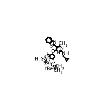 Cc1nc(NCC2CC2)nc(O[C@@H]2C[C@H](CO[Si](C)(C)C(C)(C)C)[C@@H](O[Si](C)(C)C(C)(C)C)C2I)c1-c1nc2ccccc2s1